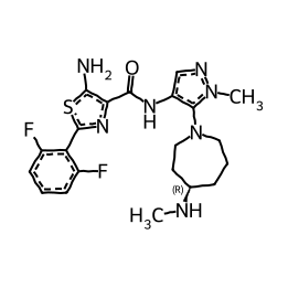 CN[C@@H]1CCCN(c2c(NC(=O)c3nc(-c4c(F)cccc4F)sc3N)cnn2C)CC1